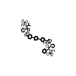 COC(=O)NC(C(=O)N1CCC[C@H]1c1nc2ccc(-c3ccc(-c4ccc(-c5cnc([C@@H]6CCCN6C(=O)[C@H](NC(=O)OC)c6ccccc6)[nH]5)cc4)cc3)cc2[nH]1)C(C)C